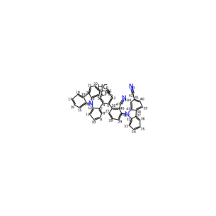 C#C/C=C(\C(=C/C)c1ccccc1-n1c2ccccc2c2ccccc21)c1cccc(-n2c3ccccc3c3ccc(C#N)cc32)c1C#N